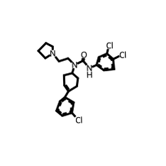 O=C(Nc1ccc(Cl)c(Cl)c1)N(CCN1CCCC1)C1CC=C(c2cccc(Cl)c2)CC1